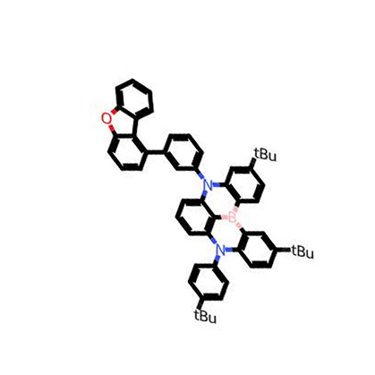 CC(C)(C)c1ccc(N2c3ccc(C(C)(C)C)cc3B3c4ccc(C(C)(C)C)cc4N(c4cccc(-c5cccc6oc7ccccc7c56)c4)c4cccc2c43)cc1